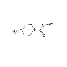 CC1=CCN(C(=O)OC(C)C)CC1